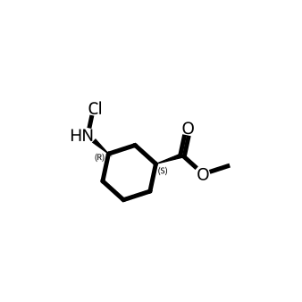 COC(=O)[C@H]1CCC[C@@H](NCl)C1